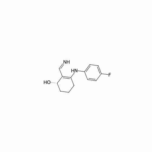 N=CC1=C(Nc2ccc(F)cc2)CCC[C@@H]1O